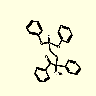 COC(CCP(=O)(Oc1ccccc1)Oc1ccccc1)(C(=O)c1ccccc1)c1ccccc1